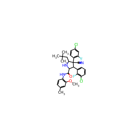 COc1cc(C)ccc1NC(=O)C1NC(CC(C)(C)C)C(C#N)(c2ccc(Cl)cc2F)C1c1cccc(Cl)c1F